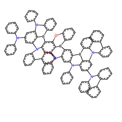 c1ccc(-c2ccccc2N(c2ccccc2)c2cc3c4c(c2)N(c2ccccc2-c2ccccc2)c2ccccc2B4c2cc4c(cc2N3c2ccccc2)N(c2ccccc2)c2cc3c(c5c2B4c2ccccc2O5)B2c4ccccc4N(c4ccccc4)c4cc(N(c5ccccc5)c5ccccc5)cc(c42)N3c2ccccc2-c2ccccc2)cc1